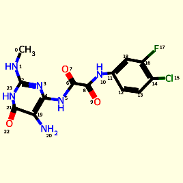 CNc1nc(NC(=O)C(=O)Nc2ccc(Cl)c(F)c2)c(N)c(=O)[nH]1